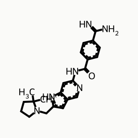 CC1(C)CCCN1Cc1cc2cnc(NC(=O)c3ccc(C(=N)N)cc3)cc2[nH]1